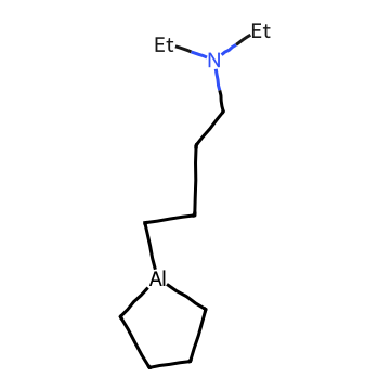 CCN(CC)CCC[CH2][Al]1[CH2]CC[CH2]1